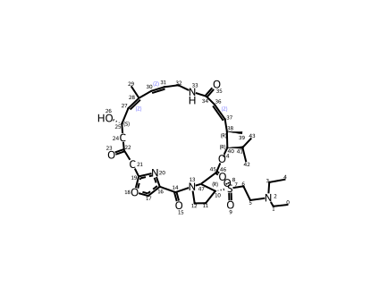 CCN(CC)CCS(=O)(=O)[C@@H]1CCN2C(=O)c3coc(n3)CC(=O)C[C@H](O)/C=C(C)\C=C/CNC(=O)/C=C\[C@@H](C)[C@@H](C(C)C)OC(=O)C12